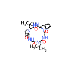 CC(C)CC1c2nnc(o2)[C@H](Cc2ccccc2)NC(=O)CNC(=O)[C@H](CC(C)C)NC(=O)CNC(=O)[C@@H]2CCCN12